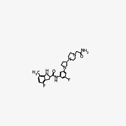 Cc1ccc(F)c2c1NC(C(=O)Nc1cc(F)cc(N3CC[C@@H](N4CCN(CC(N)=O)CC4)C3)c1)C2